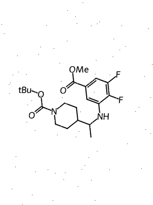 COC(=O)c1cc(F)c(F)c(NC(C)C2CCN(C(=O)OC(C)(C)C)CC2)c1